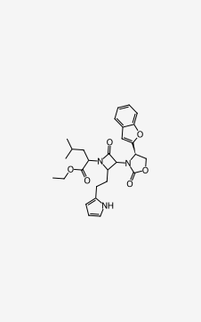 CCOC(=O)C(CC(C)C)N1C(=O)C(N2C(=O)OC[C@@H]2c2cc3ccccc3o2)C1CCc1ccc[nH]1